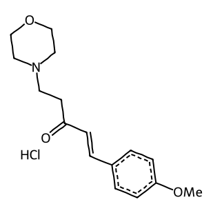 COc1ccc(C=CC(=O)CCN2CCOCC2)cc1.Cl